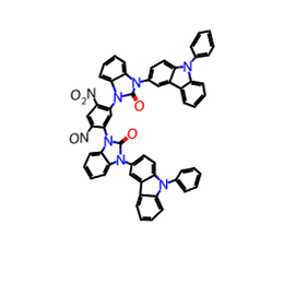 O=Nc1cc([N+](=O)[O-])c(-n2c(=O)n(-c3ccc4c(c3)c3ccccc3n4-c3ccccc3)c3ccccc32)cc1-n1c(=O)n(-c2ccc3c(c2)c2ccccc2n3-c2ccccc2)c2ccccc21